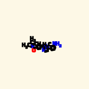 CCN(C(=O)c1ccc(Nc2nccc(-c3cccc(N)c3C)n2)cc1)C(C)C